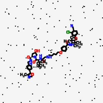 Cc1ncoc1-c1ccc(CNC(=O)[C@@H]2C[C@@H](O)CN2C(=O)[C@@H](NC(=O)CNCCCCCOc2ccc(C(=O)NC3C(C)(C)C(Oc4ccc(C#N)c(Cl)c4)C3(C)C)cc2)C(C)(C)C)cc1